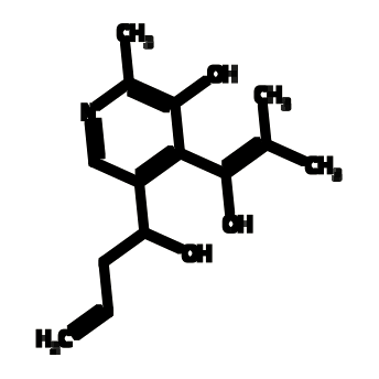 C=CCC(O)c1cnc(C)c(O)c1C(O)=C(C)C